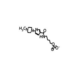 CN1CCN(c2ccc(C(=O)NCCCCO[N+](=O)[O-])cn2)CC1